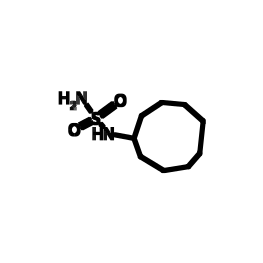 NS(=O)(=O)NC1CCCCCCCC1